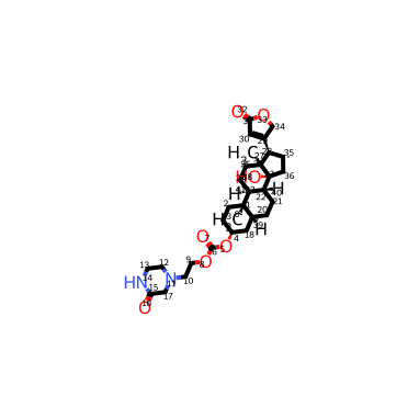 C[C@]12CC[C@H](OC(=O)OCCN3CCNC(=O)C3)C[C@H]1CC[C@@H]1[C@@H]2CC[C@]2(C)[C@@H](C3=CC(=O)OC3)[CH]C[C@]12O